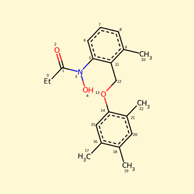 CCC(=O)N(O)c1cccc(C)c1COc1cc(C)c(C)cc1C